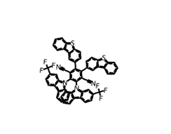 N#Cc1c(-c2ccc3sc4ccccc4c3c2)c(-c2ccc3sc4ccccc4c3c2)c(C#N)c(-n2c3ccccc3c3ccc(C(F)(F)F)cc32)c1-n1c2ccccc2c2ccc(C(F)(F)F)cc21